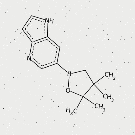 CC1(C)CB(c2cnc3cc[nH]c3c2)OC1(C)C